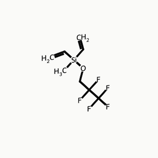 C=C[Si](C)(C=C)OCC(F)(F)C(F)(F)F